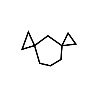 C1CC2(CC2)CC2(C1)CC2